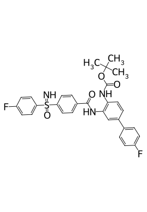 CC(C)(C)OC(=O)Nc1ccc(-c2ccc(F)cc2)cc1NC(=O)c1ccc(S(=N)(=O)c2ccc(F)cc2)cc1